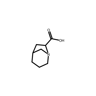 O=C(O)C1CC2CCCN1C2